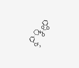 O=C([C@H]1COc2ccccc2O1)N1CCC[C@@H](c2cccc(C(F)(F)F)c2)C1